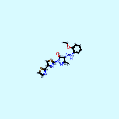 CCOc1ccccc1N/N=C1/C(=O)N(c2nc(-c3nccs3)cs2)N=C1C